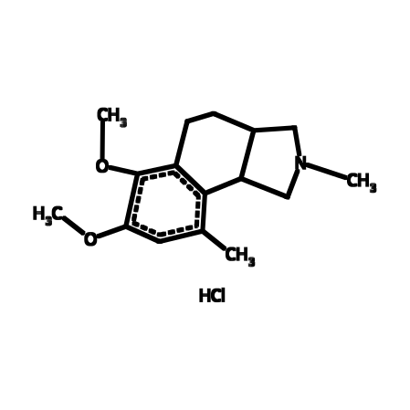 COc1cc(C)c2c(c1OC)CCC1CN(C)CC21.Cl